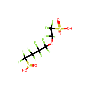 O=S(O)C(F)(F)C(F)(F)C(F)(F)C(F)(F)OC(F)(F)C(F)(F)S(=O)(=O)O